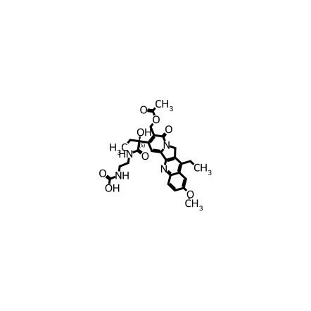 CCc1c2c(nc3ccc(OC)cc13)-c1cc([C@@](O)(CC)C(=O)NCCNC(=O)O)c(COC(C)=O)c(=O)n1C2